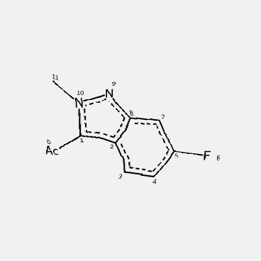 CC(=O)c1c2ccc(F)cc2nn1C